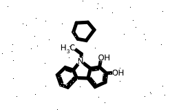 C1CCCCC1.CCn1c2ccccc2c2ccc(O)c(O)c21